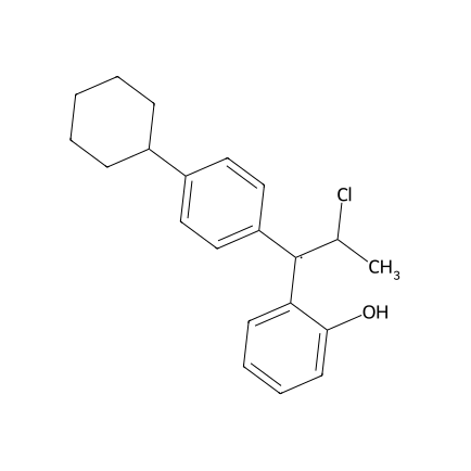 CC(Cl)[C](c1ccc(C2CCCCC2)cc1)c1ccccc1O